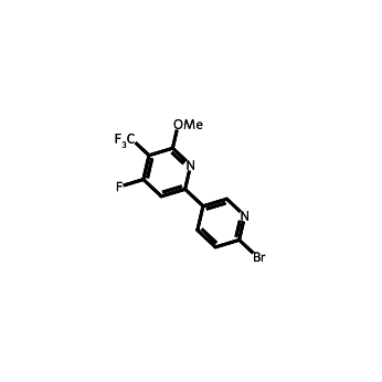 COc1nc(-c2ccc(Br)nc2)cc(F)c1C(F)(F)F